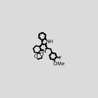 COc1ccc(Cc2nc3c(c4c2[nH]c2ccccc24)CCCC32OCCO2)cc1F